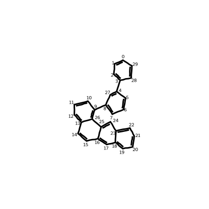 c1ccc(-c2cccc(-c3cccc4ccc5cc6ccccc6cc5c34)c2)cc1